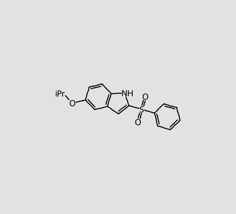 CC(C)Oc1ccc2[nH]c(S(=O)(=O)c3ccccc3)cc2c1